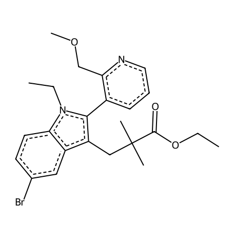 CCOC(=O)C(C)(C)Cc1c(-c2cccnc2COC)n(CC)c2ccc(Br)cc12